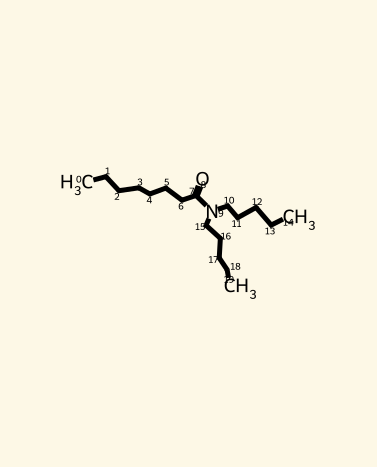 CCCCCCCC(=O)N(CCCCC)CCCCC